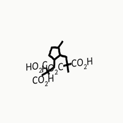 CC1CCC(CC(C)(C(=O)O)C(=O)O)C1CC(C)(C(=O)O)C(=O)O